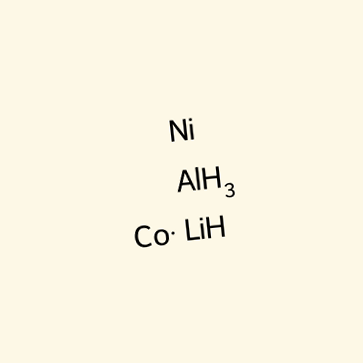 [AlH3].[Co].[LiH].[Ni]